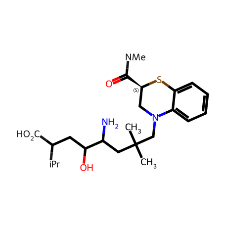 CNC(=O)[C@@H]1CN(CC(C)(C)CC(N)C(O)CC(C(=O)O)C(C)C)c2ccccc2S1